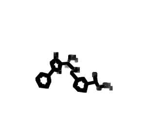 COC(=O)c1cccc(CN[C@@H](C)c2nc(-c3ccccc3)c[nH]2)c1